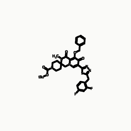 CN1C(=O)c2c(OCc3ccccc3)c(=O)c(-c3nnc(Cc4ccc(F)cc4F)s3)cn2CC12CCN(C(=O)OC(C)(C)C)CC2